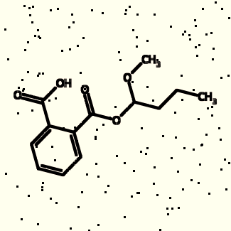 CCCC(OC)OC(=O)c1ccccc1C(=O)O